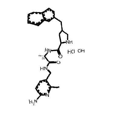 Cc1nc(N)ccc1CNC(=O)[C@H](C)NC(=O)C1CC(Cc2ccc3ccccc3c2)CN1.Cl.Cl